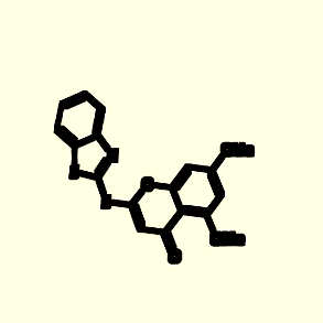 COc1cc(OC)c2c(=O)cc(Sc3nc4ccccc4s3)oc2c1